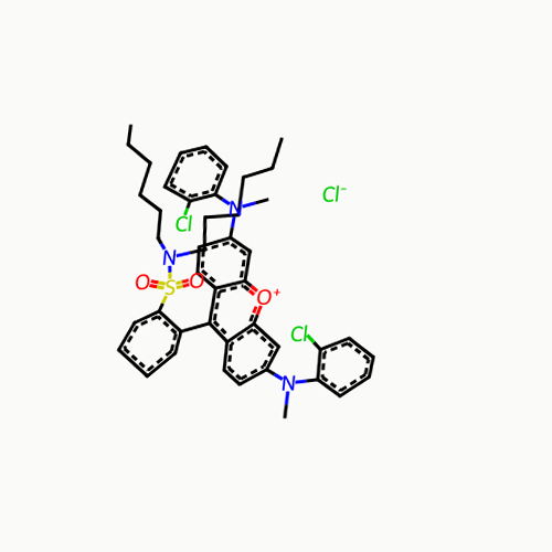 CCCCCCN(CCCCCC)S(=O)(=O)c1ccccc1-c1c2ccc(N(C)c3ccccc3Cl)cc2[o+]c2cc(N(C)c3ccccc3Cl)ccc12.[Cl-]